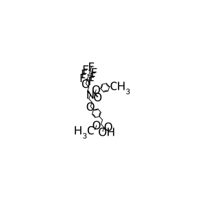 CCOC(Cc1ccc(OCCN(CCOC(F)(F)C(F)(F)C(F)(F)F)C(=O)Oc2ccc(C)cc2)cc1)C(=O)O